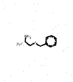 CC(C)[C@H](N)CSCc1ccccc1